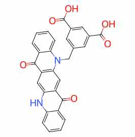 O=C(O)c1cc(Cn2c3ccccc3c(=O)c3cc4[nH]c5ccccc5c(=O)c4cc32)cc(C(=O)O)c1